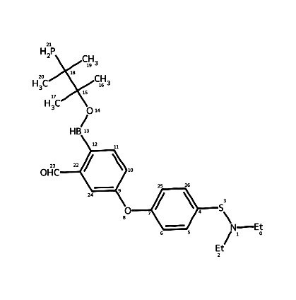 CCN(CC)Sc1ccc(Oc2ccc(BOC(C)(C)C(C)(C)P)c(C=O)c2)cc1